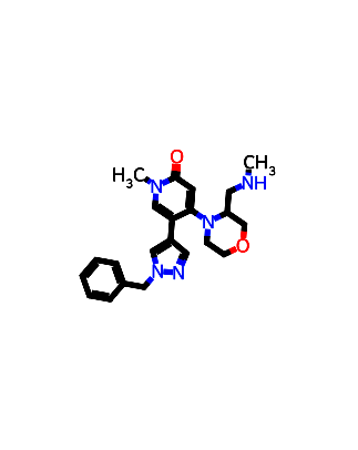 CNCC1COCCN1c1cc(=O)n(C)cc1-c1cnn(Cc2ccccc2)c1